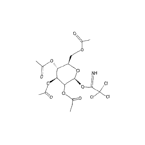 CC(=O)OC[C@H]1O[C@@H](OC(=N)C(Cl)(Cl)Cl)C(OC(C)=O)[C@@H](OC(C)=O)[C@@H]1OC(C)=O